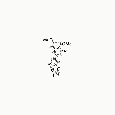 COc1cc(OC)c2c(=O)cc(-c3ccc4c(c3)OC(F)(F)O4)oc2c1